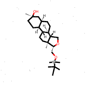 CC(C)(C)[Si](C)(C)OC[C@H]1OC[C@H]2[C@@H]3CC[C@@H]4C[C@](C)(O)CC[C@@H]4[C@H]3CC[C@]12C